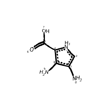 Nc1c[nH]c(C(=O)O)c1N